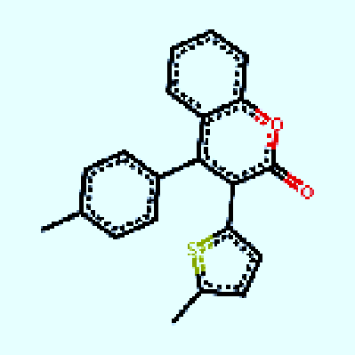 Cc1ccc(-c2c(-c3ccc(C)s3)c(=O)oc3ccccc23)cc1